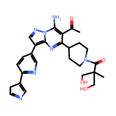 CC(=O)c1c(C2CCN(C(=O)C(C)(CO)CO)CC2)nc2c(-c3ccc(C4=CN=CC4)nc3)cnn2c1N